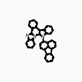 c1ccc2c(c1)-c1cccc3c(-n4c5ccccc5c5c6ccccc6c6nc7ccccc7n6c54)ccc-2c13